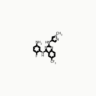 Cn1cc(Nc2nc(Nc3cc(N)ccc3F)c3cc(C(F)(F)F)ccc3n2)cn1